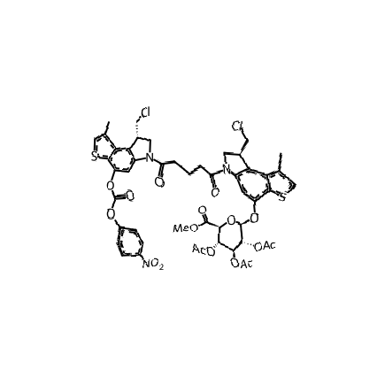 COC(=O)[C@H]1O[C@@H](Oc2cc3c(c4c(C)csc24)[C@H](CCl)CN3C(=O)CCCC(=O)N2C[C@@H](CCl)c3c2cc(OC(=O)Oc2ccc([N+](=O)[O-])cc2)c2scc(C)c32)[C@H](OC(C)=O)[C@@H](OC(C)=O)[C@@H]1OC(C)=O